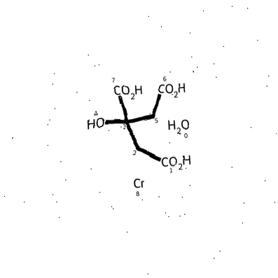 O.O=C(O)CC(O)(CC(=O)O)C(=O)O.[Cr]